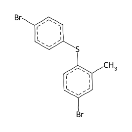 Cc1cc(Br)ccc1Sc1ccc(Br)cc1